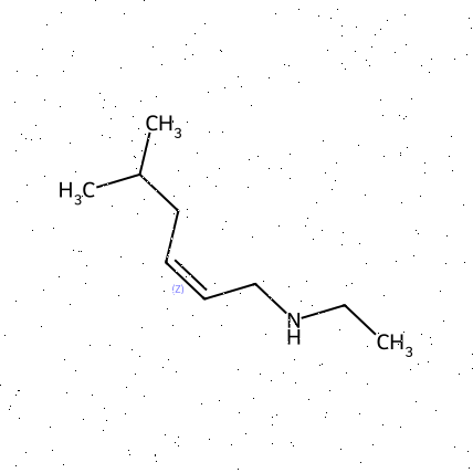 CCNC/C=C\CC(C)C